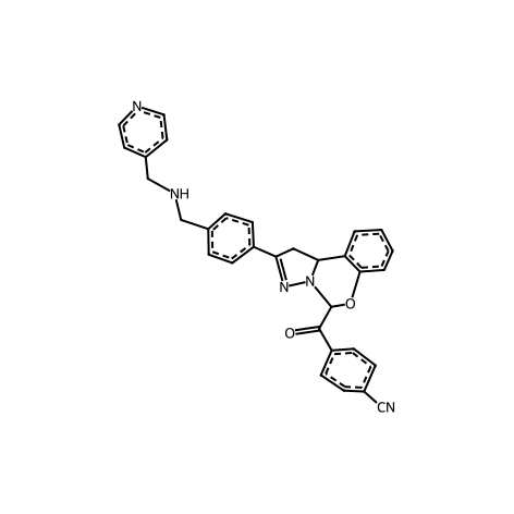 N#Cc1ccc(C(=O)C2Oc3ccccc3C3CC(c4ccc(CNCc5ccncc5)cc4)=NN23)cc1